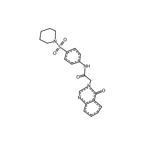 O=C(Cn1cnc2ccccc2c1=O)Nc1ccc(S(=O)(=O)N2CCCCC2)cc1